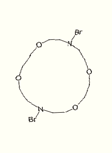 BrN1CCOCCOCCN(Br)CCOCCOCC1